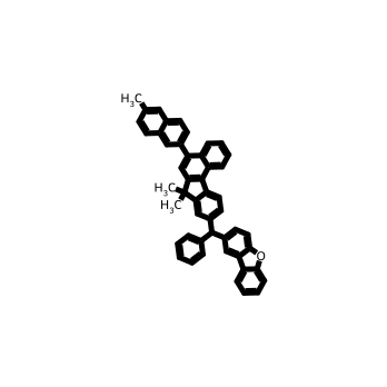 Cc1ccc2cc(-c3cc4c(c5ccccc35)-c3ccc(C(c5ccccc5)c5ccc6oc7ccccc7c6c5)cc3C4(C)C)ccc2c1